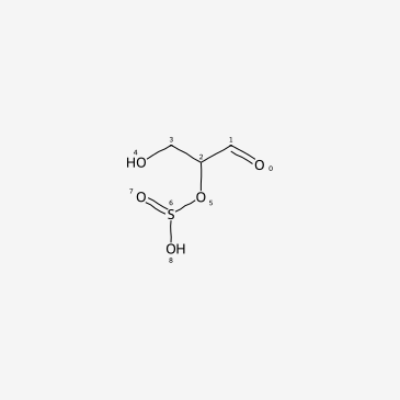 O=CC(CO)OS(=O)O